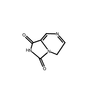 O=C1NC(=O)N2CC=NC=C12